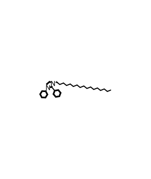 CCCCCCCCCCCCCCCCC[n+]1ccn(-c2ccccc2)c1-c1ccccc1